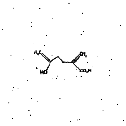 C=C(O)CCC(=C)C(=O)O